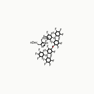 CCCCCCCCCCCc1nc[nH]c1CCCCCCCCCCC.Fc1c(F)c(F)[c]([Al]([c]2c(F)c(F)c(F)c(F)c2F)[c]2c(F)c(F)c(F)c(F)c2F)c(F)c1F.Fc1c(F)c(F)[c]([Al]([c]2c(F)c(F)c(F)c(F)c2F)[c]2c(F)c(F)c(F)c(F)c2F)c(F)c1F